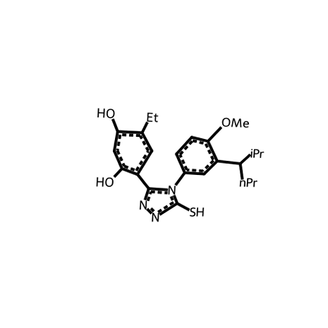 CCCC(c1cc(-n2c(S)nnc2-c2cc(CC)c(O)cc2O)ccc1OC)C(C)C